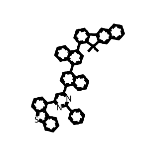 CC1(C)c2cc3ccccc3cc2-c2cccc(-c3ccc(-c4ccc(-c5cc(-c6cccc7sc8ccccc8c67)nc(-c6ccccc6)n5)c5ccccc45)c4ccccc34)c21